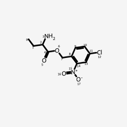 CCC(N)C(=O)OCc1ccc(Cl)cc1[N+](=O)[O-]